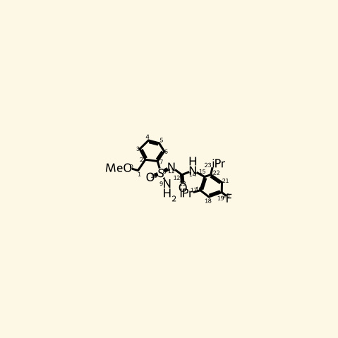 COCc1ccccc1S(N)(=O)=NC(=O)Nc1c(C(C)C)cc(F)cc1C(C)C